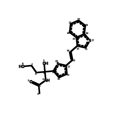 CC(=O)NC(O)(CCO)c1ccc(C=Cc2csc3ccccc23)s1